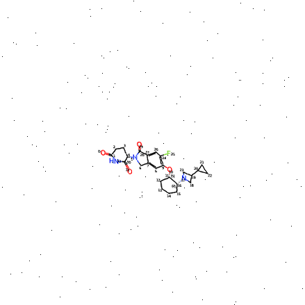 O=C1CCC(N2Cc3cc(O[C@H]4CCCC[C@H]4N4CC(C5CC5)C4)c(F)cc3C2=O)C(=O)N1